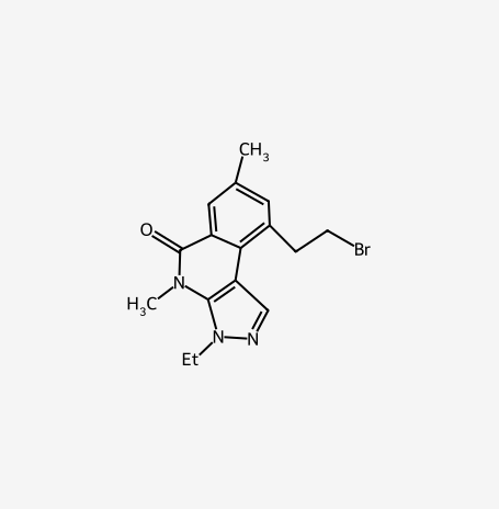 CCn1ncc2c3c(CCBr)cc(C)cc3c(=O)n(C)c21